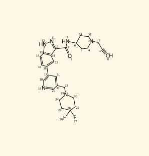 C#CCN1CCC(NC(=O)c2n[nH]c3ccc(-c4cncc(CN5CCC(F)(F)CC5)c4)cc23)CC1